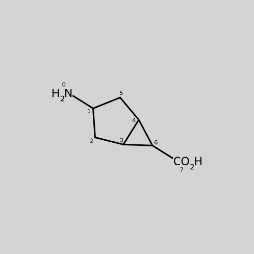 NC1CC2C(C1)C2C(=O)O